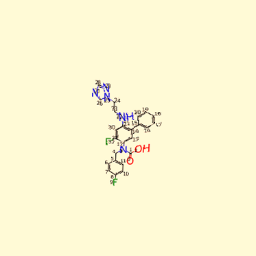 O=C(O)N(Cc1ccc(F)cc1)c1cc(-c2ccccc2)c(NCCn2cncn2)cc1F